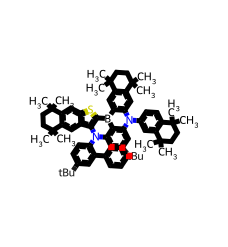 CC(C)(C)c1ccc(N2c3cc(C(C)(C)C)cc4c3B(c3cc5c(cc3N4c3ccc4c(c3)C(C)(C)CCC4(C)C)C(C)(C)CCC5(C)C)c3sc4cc5c(cc4c32)C(C)(C)CCC5(C)C)c(-c2ccccc2)c1